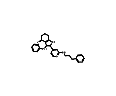 O=C1CCCc2[nH]c(-c3ccnc(NCCCc4ccccc4)c3)c(Nc3ccccc3)c21